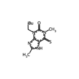 CCC(C)Cn1c(=O)n(C)c(=S)c2[nH]c(C)nc21